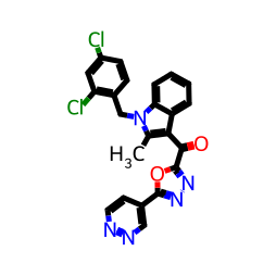 Cc1c(C(=O)c2nnc(-c3ccnnc3)o2)c2ccccc2n1Cc1ccc(Cl)cc1Cl